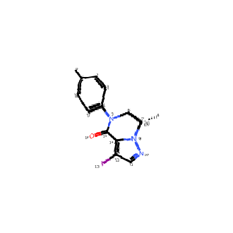 Cc1ccc(N2C[C@H](C)n3ncc(I)c3C2=O)cc1